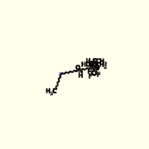 CCCCCCCC/C=C\CCCCCCCC(=O)NCCCC[C@@H](C(=O)O)N(C(=O)OC(C)(C)C)c1c(F)c(F)cc(F)c1F